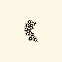 Fc1ccc2c(c1)-c1ccc(N(c3ccc4c(c3)Cc3cc(-c5ccccc5)c5ccccc5c3-4)c3ccccc3-c3ccccc3)cc1C2(c1ccccc1)c1ccccc1